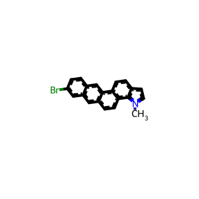 Cn1ccc2ccc3c4cc5ccc(Br)cc5cc4ccc3c21